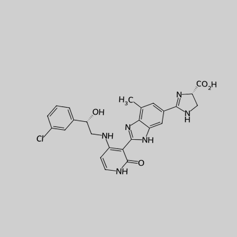 Cc1cc(C2=N[C@H](C(=O)O)CN2)cc2[nH]c(-c3c(NC[C@@H](O)c4cccc(Cl)c4)cc[nH]c3=O)nc12